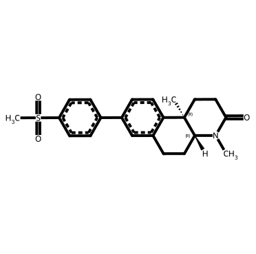 CN1C(=O)CC[C@]2(C)c3ccc(-c4ccc(S(C)(=O)=O)cc4)cc3CC[C@@H]12